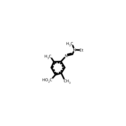 CCN(C)C=Nc1cc(C)c(C(=O)O)cc1C